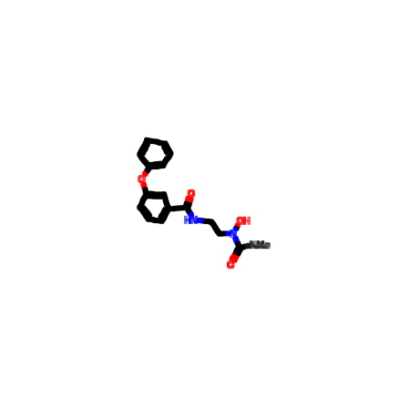 CNC(=O)N(O)CCNC(=O)c1cccc(Oc2ccccc2)c1